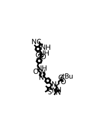 Cc1sc2c(c1C)C(c1ccc(-c3cnc(C(=O)NCc4ccc(S(=O)(=O)Nc5ccc(C)c6c(C#N)c[nH]c56)cc4)cn3)cc1)=N[C@@H](CCC(=O)OC(C)(C)C)c1nnc(C)n1-2